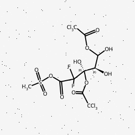 CS(=O)(=O)OC(=O)C(F)(F)[C@](O)(OC(=O)C(Cl)(Cl)Cl)[C@H](O)C(O)OC(=O)C(Cl)(Cl)Cl